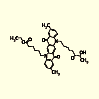 CCOC(=O)CCCCCn1c2ccc(C)cc2c(=O)c2cc3c(cc21)c(=O)c1cc(C)ccc1n3CCCCCC(=O)C(C)O